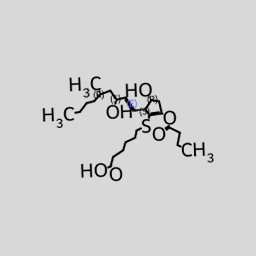 CCCC[C@@H](C)C[C@H](O)/C=C/[C@@H]1C(SCCCCCC(=O)O)=C(OC(=O)CCC)C[C@H]1O